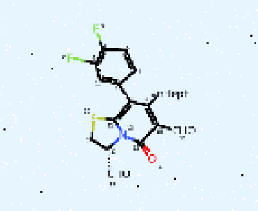 CCCCCCCc1c(-c2ccc(F)c(F)c2)c2n(c(=O)c1C=O)[C@H](C=O)CS2